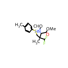 COC(=O)[C@@H](NC=O)[C@@](C)(CSc1ccc(C)cc1)C(F)F